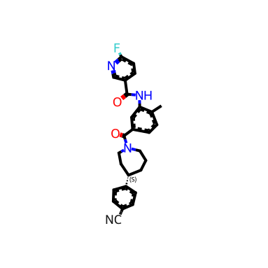 Cc1ccc(C(=O)N2CCC[C@H](c3ccc(C#N)cc3)CC2)cc1NC(=O)c1ccc(F)nc1